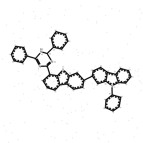 c1ccc(C2=NC(c3cccc4c3sc3cc(-c5ccc6c7ccccc7n(-c7ccccc7)c6c5)ccc34)=NC(c3ccccc3)N2)cc1